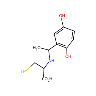 CC(NC(CS)C(=O)O)c1cc(O)ccc1O